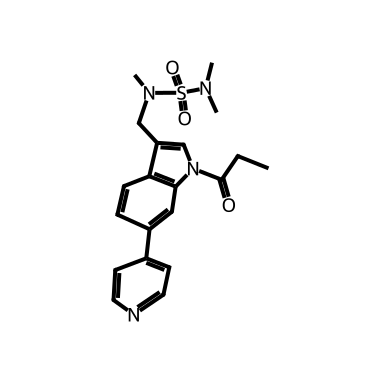 CCC(=O)n1cc(CN(C)S(=O)(=O)N(C)C)c2ccc(-c3ccncc3)cc21